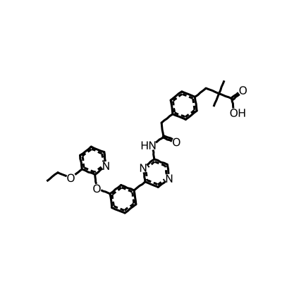 CCOc1cccnc1Oc1cccc(-c2cncc(NC(=O)Cc3ccc(CC(C)(C)C(=O)O)cc3)n2)c1